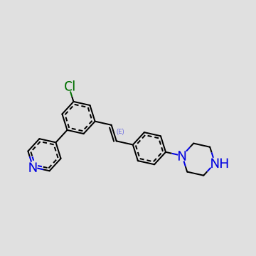 Clc1cc(/C=C/c2ccc(N3CCNCC3)cc2)cc(-c2ccncc2)c1